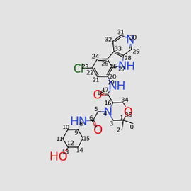 CC1(C)CN(CC(=O)N[C@H]2CC[C@H](O)CC2)C(C(=O)Nc2cc(Cl)cc3c2[nH]c2cnccc23)CO1